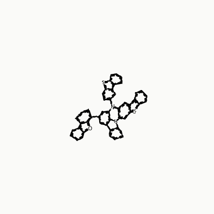 c1ccc2c(c1)B1c3cc4sc5ccccc5c4cc3N(c3ccc4sc5ccccc5c4c3)c3cc(-c4cccc5c4oc4ccccc45)cc-2c31